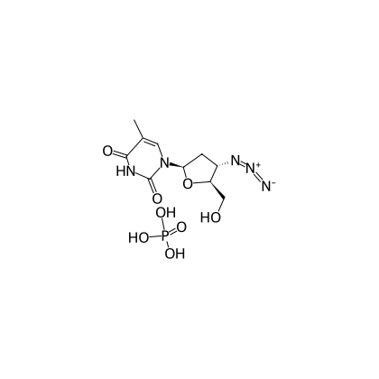 Cc1cn([C@H]2C[C@H](N=[N+]=[N-])[C@@H](CO)O2)c(=O)[nH]c1=O.O=P(O)(O)O